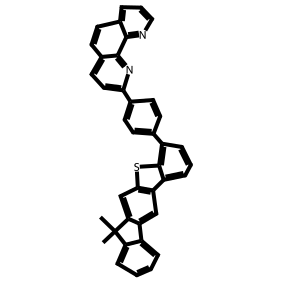 CC1(C)c2ccccc2-c2cc3c(cc21)sc1c(-c2ccc(-c4ccc5ccc6cccnc6c5n4)cc2)cccc13